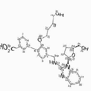 O=C(O)c1cccc(-c2ccc(CNc3nc4ccccc4n3[C@H]3CC[C@@H](CO)O3)cc2OCCCCO)c1